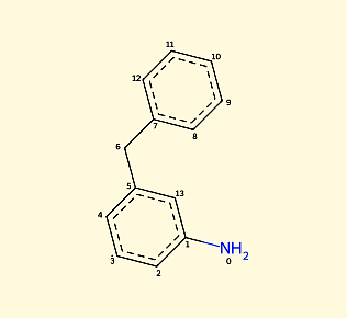 Nc1c[c]cc(Cc2ccccc2)c1